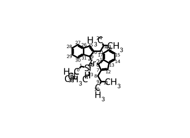 CC[SiH](CC)[Zr+2]([CH]1C(CC(C)C)=Cc2ccccc21)[CH]1C(CC(C)C)=Cc2ccccc21.[Cl-].[Cl-]